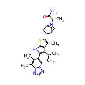 Cc1c(-c2[nH]c3sc([C@@H]4CC5CC4CN5[C@@H](C)C(N)=O)c(C)c3c2C(C)C)cn2ncnc2c1C